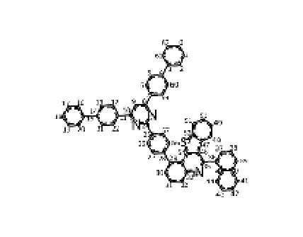 c1ccc(-c2ccc(-c3cc(-c4ccc(-c5ccccc5)cc4)nc(-c4ccc(-c5cccc6nc(-c7cccc8ccccc78)c7c8ccccc8sc7c56)cc4)n3)cc2)cc1